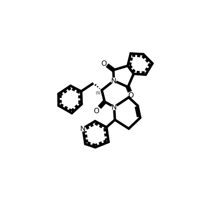 O=C([C@H](Cc1ccccc1)N1C(=O)c2ccccc2C1=O)N1CC=CCC1c1cccnc1